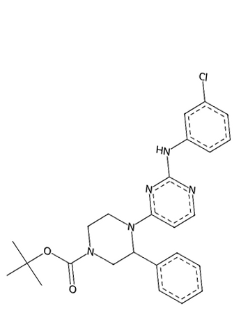 CC(C)(C)OC(=O)N1CCN(c2ccnc(Nc3cccc(Cl)c3)n2)C(c2ccccc2)C1